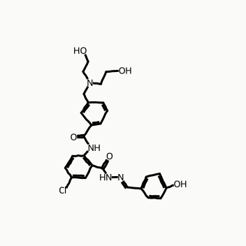 O=C(Nc1ccc(Cl)cc1C(=O)NN=Cc1ccc(O)cc1)c1cccc(CN(CCO)CCO)c1